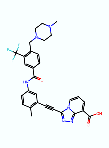 Cc1ccc(NC(=O)c2ccc(CN3CCN(C)CC3)c(C(F)(F)F)c2)cc1C#Cc1nnc2c(C(=O)O)cccn12